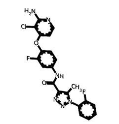 Cc1c(C(=O)Nc2ccc(Oc3ccnc(N)c3Cl)c(F)c2)nnn1-c1ccccc1F